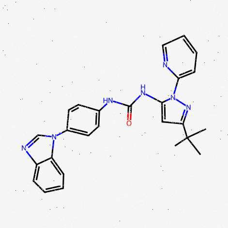 CC(C)(C)c1cc(NC(=O)Nc2ccc(-n3cnc4ccccc43)cc2)n(-c2ccccn2)n1